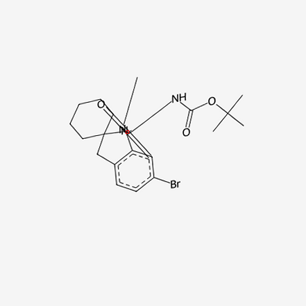 CN1C(=O)C2(N=C1NC(=O)OC(C)(C)C)c1cc(Br)ccc1CC21CCCCC1